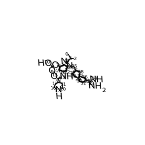 CC(C)c1nc2c(OC(=O)O)cc(NC(=O)C3CCNCC3)cc2n1Cc1ccc2ccc(C(=N)N)cc2c1